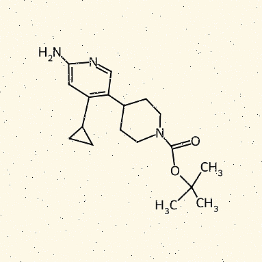 CC(C)(C)OC(=O)N1CCC(c2cnc(N)cc2C2CC2)CC1